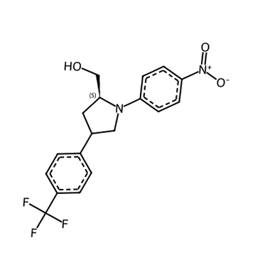 O=[N+]([O-])c1ccc(N2CC(c3ccc(C(F)(F)F)cc3)C[C@H]2CO)cc1